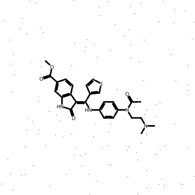 COC(=O)c1ccc2c(c1)NC(=O)/C2=C(\Nc1ccc(N(CCN(C)C)C(C)=O)cc1)c1ccsc1